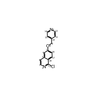 Clc1nccc2cc(OCc3ccncc3)ccc12